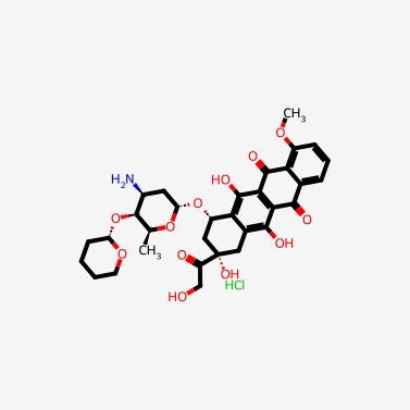 COc1cccc2c1C(=O)c1c(O)c3c(c(O)c1C2=O)C[C@@](O)(C(=O)CO)C[C@@H]3O[C@H]1C[C@H](N)[C@H](O[C@H]2CCCCO2)[C@H](C)O1.Cl